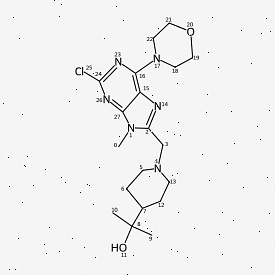 Cn1c(CN2CCC(C(C)(C)O)CC2)nc2c(N3CCOCC3)nc(Cl)nc21